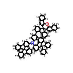 c1ccc(C2(c3ccccc3)c3ccccc3-c3c(N(c4ccc(-c5cccc6c5-c5ccccc5C65c6ccc7ccccc7c6Oc6c5ccc5ccccc65)cc4)c4ccc5c(c4)C4(c6ccccc6-c6ccccc64)c4ccccc4-5)cccc32)cc1